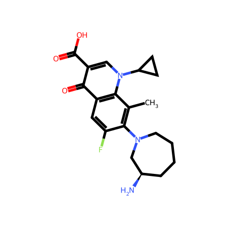 Cc1c(N2CCCC[C@@H](N)C2)c(F)cc2c(=O)c(C(=O)O)cn(C3CC3)c12